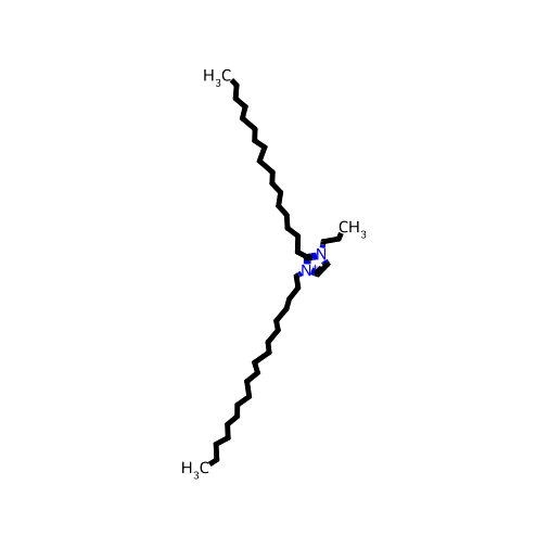 CCCCCCCCCCCCCCCCCCC[n+]1ccn(CCC)c1CCCCCCCCCCCCCCCCC